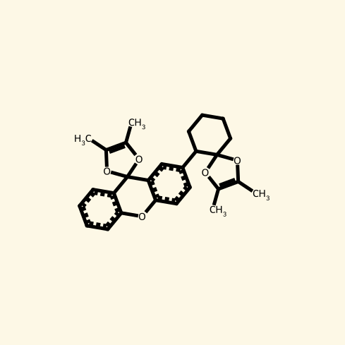 CC1=C(C)OC2(O1)c1ccccc1Oc1ccc(C3CCCCC34OC(C)=C(C)O4)cc12